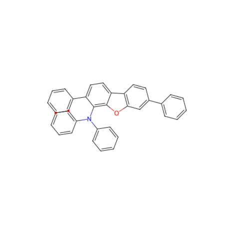 c1ccc(-c2ccc3c(c2)oc2c(N(c4ccccc4)c4ccccc4)c(-c4ccccc4)ccc23)cc1